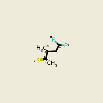 CC(=S)C(C)CC(F)F